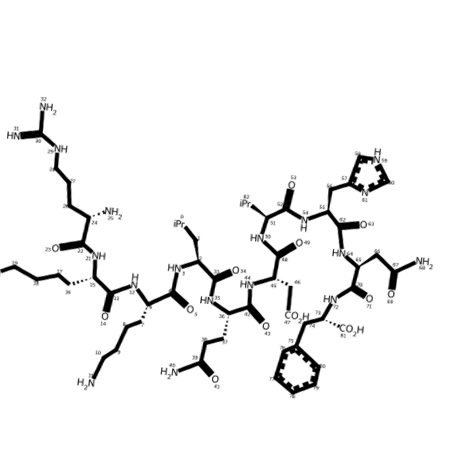 CC(C)C[C@H](NC(=O)[C@H](CCCCN)NC(=O)[C@H](CCCCN)NC(=O)[C@@H](N)CCCNC(=N)N)C(=O)N[C@@H](CCC(N)=O)C(=O)N[C@@H](CC(=O)O)C(=O)N[C@H](C(=O)N[C@@H](Cc1c[nH]cn1)C(=O)N[C@@H](CC(N)=O)C(=O)N[C@@H](Cc1ccccc1)C(=O)O)C(C)C